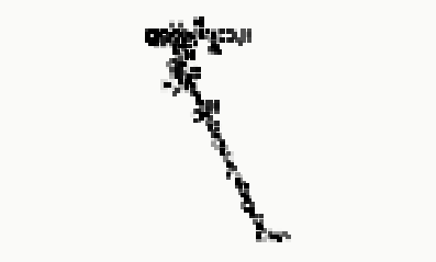 COCCOCCOCCOCCOCCOCCOCCOCCC(=O)NCCCC[C@H](N)C(=O)NCC(=O)NCC(=O)N[C@@H](Cc1ccccc1)C(=O)NCC(=O)NCO[C@H](C(=O)O)C1CC1